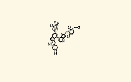 N#CC1(Cn2ccc3cc(Cl)cc(-c4ccnc5cc(Cn6c(=O)ccn(CC7CC7)c6=O)sc45)c32)CCNCC1.O=C(O)C(F)(F)F